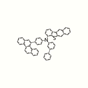 c1ccc(-c2cccc(N(c3ccc(-c4cc5ccccc5c5ccc6ccccc6c45)cc3)c3cccc4c3sc3cc5ccccc5cc34)c2)cc1